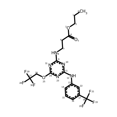 CCCOC(=O)CCNc1nc(Nc2cccc(C(F)(F)F)c2)nc(OCC(F)(F)F)n1